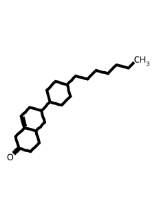 CCCCCCCC1CCC(C2CC=C3CC(=O)CCC3C2)CC1